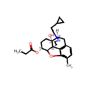 CCC(=O)O[C@@H]1CC[C@@]2(O)[C@H]3Cc4ccc(C)c5c4[C@@]2(CCN3CC2CC2)C1O5